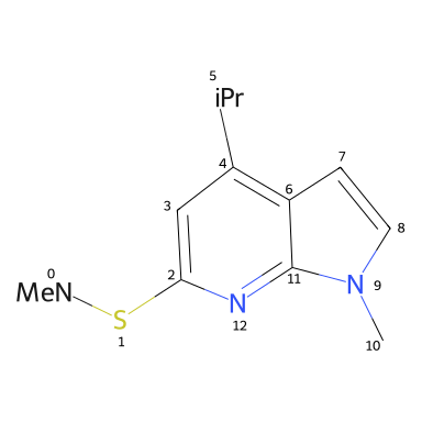 CNSc1cc(C(C)C)c2ccn(C)c2n1